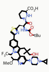 CO[C@@H](C)c1ncc(N2CCN(C3CC3)CC2)cc1-c1c(CC(C)(C)CO)c2cc(-c3csc(C[C@H](NC(=O)OC(C)(C)C)C(=O)N4CCC[C@@H](C(=O)O)N4)n3)ccc2n1CC(F)(F)F